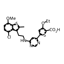 CCOc1cc(-c2cc(NCCc3c(C)sc4c(OC)ccc(Cl)c34)ncn2)sc1C(=O)O